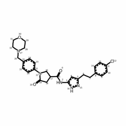 O=C(Nc1cc(CCc2ccc(Cl)cc2)n[nH]1)C1CC(=O)N(c2ccc(CN3CCOCC3)cc2)C1